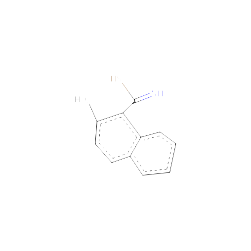 Cc1ccc2ccccc2c1C(=N)S